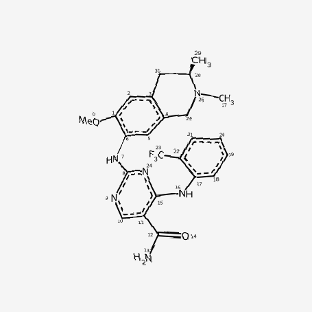 COc1cc2c(cc1Nc1ncc(C(N)=O)c(Nc3ccccc3C(F)(F)F)n1)CN(C)[C@H](C)C2